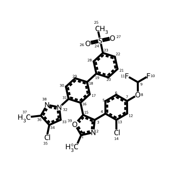 Cc1nc(-c2ccc(OC(F)F)cc2Cl)c(-c2cc(-c3cccc(S(C)(=O)=O)c3)ccc2-n2cc(Cl)c(C)n2)o1